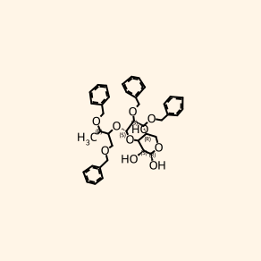 C[C@@H](OCc1ccccc1)C(COCc1ccccc1)O[C@@H](OC1[C@H](O)CO[C@@H](O)[C@H]1O)[C@H](COCc1ccccc1)OCc1ccccc1